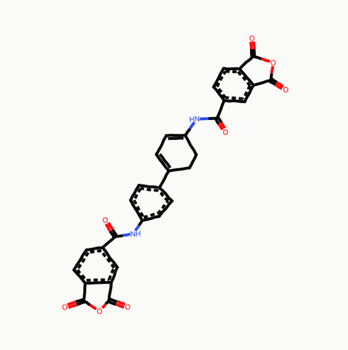 O=C(NC1=CC=C(c2ccc(NC(=O)c3ccc4c(c3)C(=O)OC4=O)cc2)CC1)c1ccc2c(c1)C(=O)OC2=O